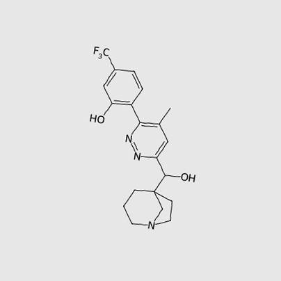 Cc1cc(C(O)C23CCCN(CC2)C3)nnc1-c1ccc(C(F)(F)F)cc1O